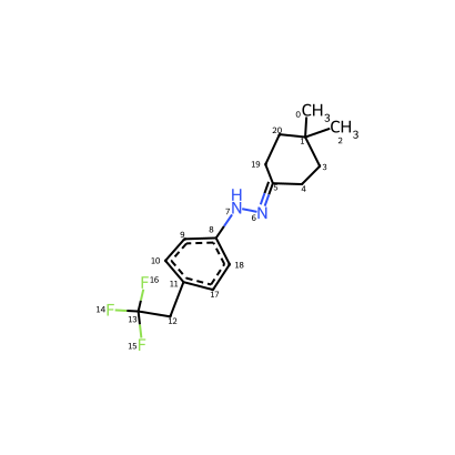 CC1(C)CCC(=NNc2ccc(CC(F)(F)F)cc2)CC1